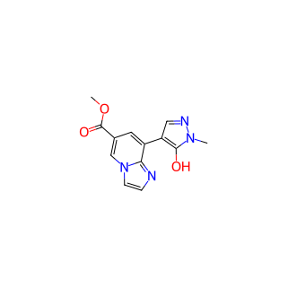 COC(=O)c1cc(-c2cnn(C)c2O)c2nccn2c1